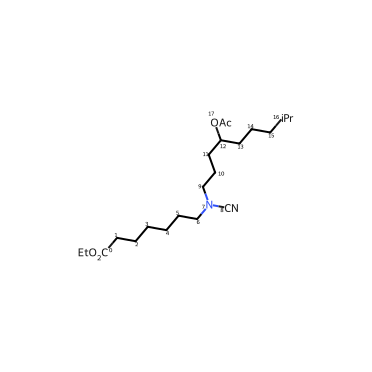 CCOC(=O)CCCCCCN(C#N)CCCC(CCCC(C)C)OC(C)=O